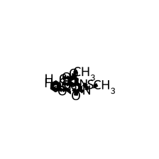 CCSc1ncc(C(=O)NCCOc2ccccc2)c(-c2cc(OC)c(OC)c(OC)c2)n1